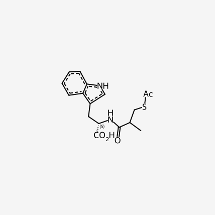 CC(=O)SCC(C)C(=O)N[C@@H](Cc1c[nH]c2ccccc12)C(=O)O